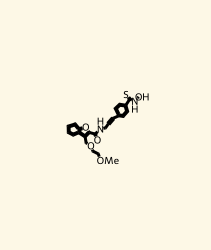 COCCOCc1c(C(=O)NCC#Cc2ccc(C(=S)NO)cc2)oc2ccccc12